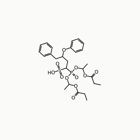 CCC(=O)OC(C)OP(=O)(OC(C)OC(=O)CC)C(CC(Cc1ccccc1)Oc1ccccc1)S(=O)(=O)O